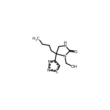 CCCCC1(c2csnn2)CNC(=O)N1CO